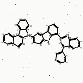 c1ccc(-c2nc(-c3cccc4c3sc3ccc(-n5c6ccccc6c6c7ccccc7ccc65)cc34)nc3ccccc23)cc1